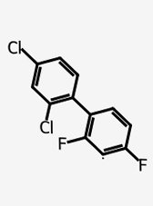 Fc1[c]c(F)c(-c2ccc(Cl)cc2Cl)cc1